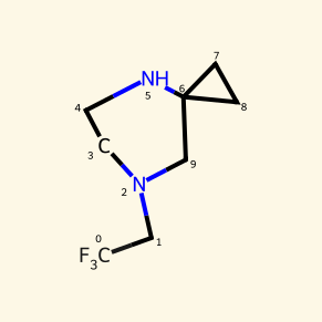 FC(F)(F)CN1CCNC2(CC2)C1